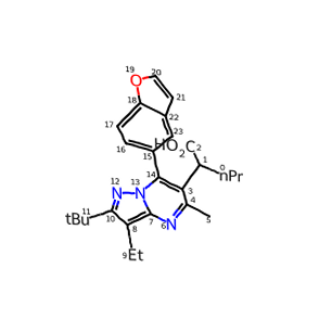 CCCC(C(=O)O)c1c(C)nc2c(CC)c(C(C)(C)C)nn2c1-c1ccc2occc2c1